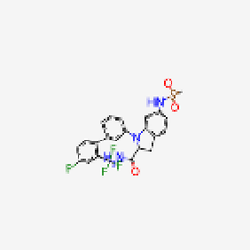 CS(=O)(=O)Nc1ccc2c(c1)N(c1cccc(-c3ccc(F)cc3C(F)(F)F)c1)C(C(N)=O)C2